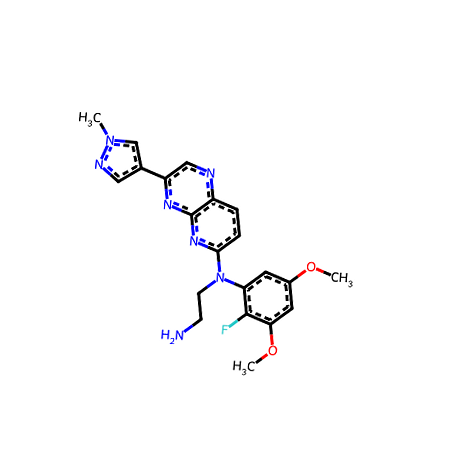 COc1cc(OC)c(F)c(N(CCN)c2ccc3ncc(-c4cnn(C)c4)nc3n2)c1